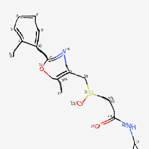 Cc1ccccc1-c1nc(C[S+]([O-])CC(=O)NC2CC2)c(C)o1